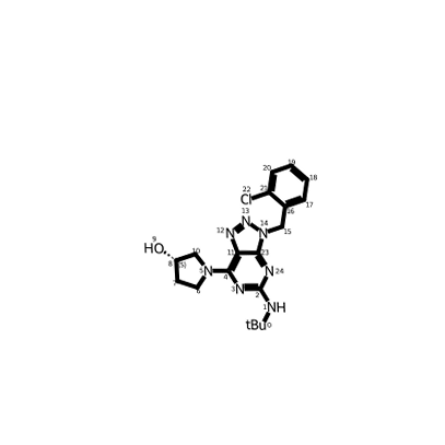 CC(C)(C)Nc1nc(N2CC[C@H](O)C2)c2nnn(Cc3ccccc3Cl)c2n1